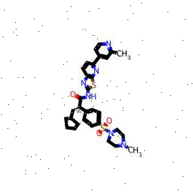 Cc1cc(-c2ccc3nc(NC(=O)[C@H](CC4CCCC4)c4ccc(S(=O)(=O)N5CCN(C)CC5)cc4)sc3n2)ccn1